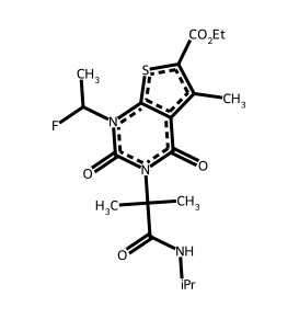 CCOC(=O)c1sc2c(c1C)c(=O)n(C(C)(C)C(=O)NC(C)C)c(=O)n2C(C)F